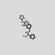 CC(NCc1ccc(Cl)c(NC(=O)CN2CCCC2)c1)c1ccccc1